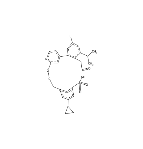 CC(C)c1cc(F)cc2c1CC(=O)NS(=O)(=O)c1cc(cc(C3CC3)c1)CCOc1cc-2ccn1